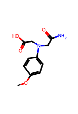 COc1ccc(N(CC(N)=O)CC(=O)O)cc1